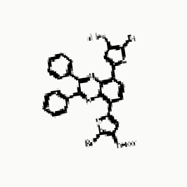 CCCCCCc1cc(-c2ccc(-c3cc(CCCCCC)c(Br)s3)c3nc(-c4ccccc4)c(-c4ccccc4)nc23)sc1Br